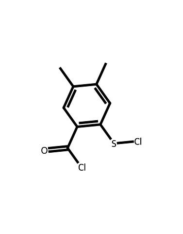 Cc1cc(SCl)c(C(=O)Cl)cc1C